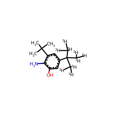 [2H]C([2H])([2H])C(c1cc(O)c(N)c(C(C)(C)C)c1)(C([2H])([2H])[2H])C([2H])([2H])[2H]